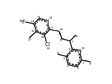 Cc1ccc(C)c(C(C)CCc2ncc(F)c(C)c2Cl)n1